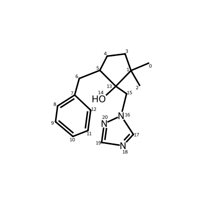 CC1(C)CCC(Cc2ccccc2)C1(O)Cn1cncn1